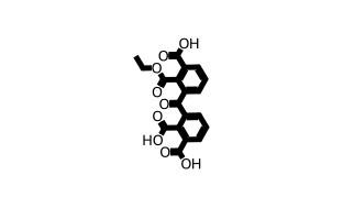 CCOC(=O)c1c(C(=O)O)cccc1C(=O)c1cccc(C(=O)O)c1C(=O)O